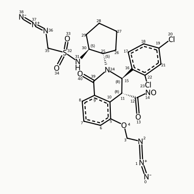 [N-]=[N+]=NCOc1cccc2c1[C@@H](C(=O)N=O)[C@H](c1ccc(Cl)cc1Cl)N([C@H]1CCCC[C@@H]1NS(=O)(=O)CN=[N+]=[N-])C2=O